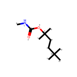 CNC(=O)OC(C)(C)CCC(C)(C)C